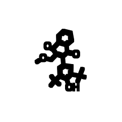 COCC1=C(c2cc(C(C)(C)C)c(O)c(C(C)(C)C)c2)C(=O)c2ccccc2C1=O